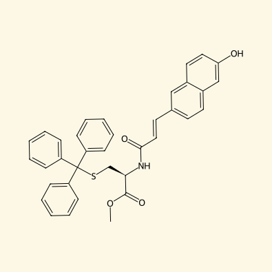 COC(=O)[C@@H](CSC(c1ccccc1)(c1ccccc1)c1ccccc1)NC(=O)/C=C/c1ccc2cc(O)ccc2c1